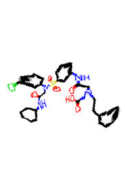 O=C(CN(CCc1ccccc1)C(=O)O)Nc1cccc(S(=O)(=O)N(CC(=O)NC2CCCCC2)c2cccc(Cl)c2)c1